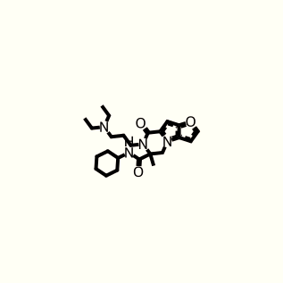 CCN(CC)CCCN1C(=O)c2cc3occc3n2CC1(C)C(=O)NC1CCCCC1